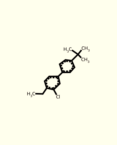 CCc1ccc(-c2ccc(C(C)(C)C)cc2)cc1Cl